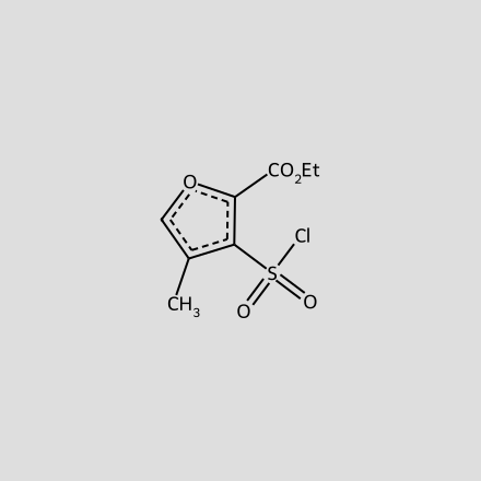 CCOC(=O)c1occ(C)c1S(=O)(=O)Cl